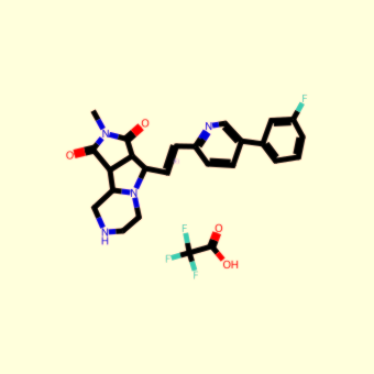 CN1C(=O)C2C(C1=O)C1CNCCN1C2/C=C/c1ccc(-c2cccc(F)c2)cn1.O=C(O)C(F)(F)F